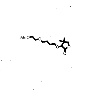 COCCOCCCCOC1C(=O)OCC1(C)C